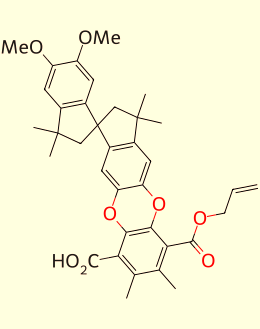 C=CCOC(=O)c1c(C)c(C)c(C(=O)O)c2c1Oc1cc3c(cc1O2)C1(CC(C)(C)c2cc(OC)c(OC)cc21)CC3(C)C